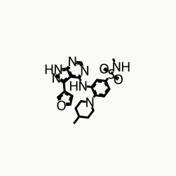 CNS(=O)(=O)c1ccc(N2CCC(C)CC2)c(Nc2ncnc3[nH]nc(-c4ccoc4)c23)c1